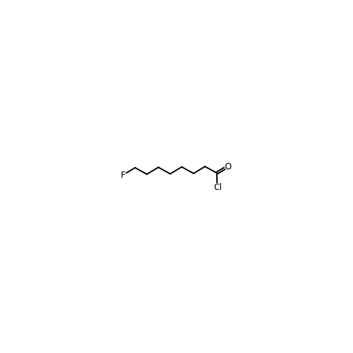 O=C(Cl)CCCCCCCF